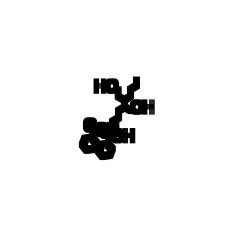 CCCCC(CO)C(CCO)CCCC.O=C(O)c1ccccc1.O=C(O)c1ccccc1